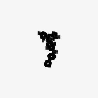 OC(Cc1nc[nH]n1)(CN1C[C@H]2CC(Nc3ccc(N4CCCCC4)cc3)C[C@H]2C1)c1ccc(F)cc1F